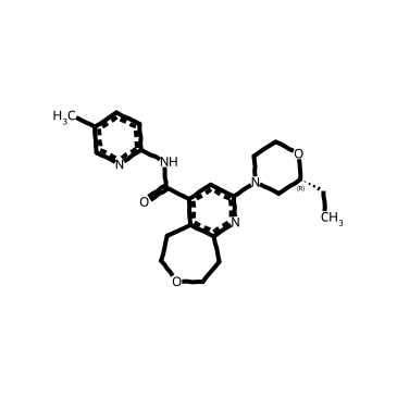 CC[C@@H]1CN(c2cc(C(=O)Nc3ccc(C)cn3)c3c(n2)CCOCC3)CCO1